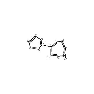 C1=CC=C(c2ccccc2)C=CN=1